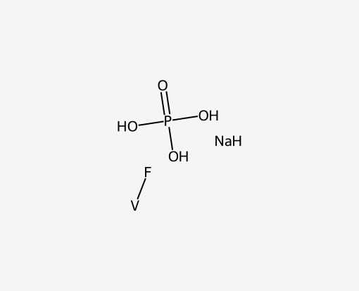 O=P(O)(O)O.[F][V].[NaH]